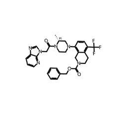 C[C@@H]1CN(c2ccc(C(F)(F)F)c3c2CN(C(=O)OCc2ccccc2)CC3)CCN1C(=O)Cn1cnc2cccnc21